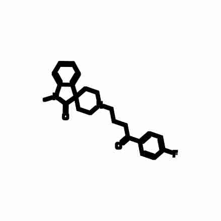 CN1C(=O)C2(CCN(CCCC(=O)c3ccc(F)cc3)CC2)c2ccccc21